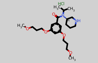 COCCCOc1cc(OCCCOC)cc(C(=O)N(C(C)C)[C@@H]2CCCNC2)c1.Cl